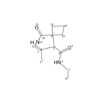 C=C(C)C(C(=O)NCC)C1(C(N)=O)CCC1